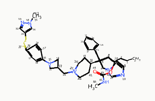 CCCC(CC(Cn1ccnc1)(c1ccccc1)C1CCN(CC2CN(c3ccc(Sc4cnn(C)c4)cc3)C2)CC1)OC(=O)NC